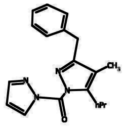 CCCc1c(C)c(Cc2ccccc2)nn1C(=O)n1cccn1